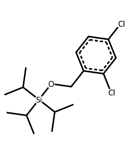 CC(C)[Si](OCc1ccc(Cl)cc1Cl)(C(C)C)C(C)C